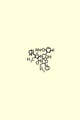 COc1ccc(F)cc1[C@@H](O)Cn1c(=O)n([C@H](C)C(=O)N2CCCC2)c(=O)c2c(C)c(-n3nccn3)sc21